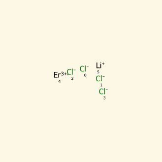 [Cl-].[Cl-].[Cl-].[Cl-].[Er+3].[Li+]